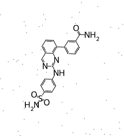 NC(=O)c1cccc(-c2cccc3cnc(Nc4ccc(S(N)(=O)=O)cc4)nc23)c1